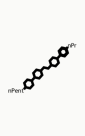 CCCCCC1CCC(C2CCC(CCC3CCC(c4ccc(CCC)cc4)CC3)CC2)CC1